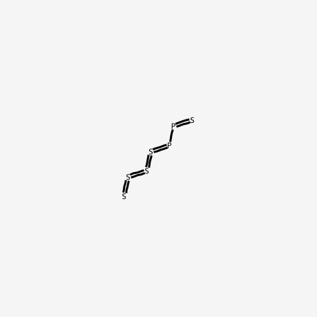 S=PP=S=S=S=S